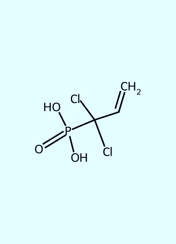 C=CC(Cl)(Cl)P(=O)(O)O